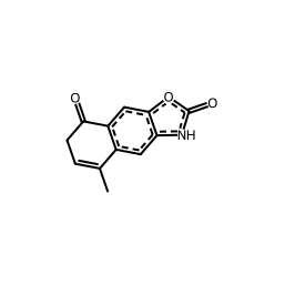 CC1=CCC(=O)c2cc3oc(=O)[nH]c3cc21